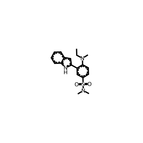 CCN(C)c1ccc(S(=O)(=O)N(C)C)cc1-c1cc2ccccc2[nH]1